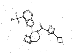 O=C(c1nnc(C2CCC2)o1)N1CCc2[nH]cnc2C1c1cc2cccc(C(F)(F)F)n2n1